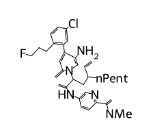 C=CC(CCCCC)CC(C(=C)Nc1ccc(C(=C)NC)nc1)N1C=C(N)C(c2cc(Cl)ccc2CCCF)=CC1=C